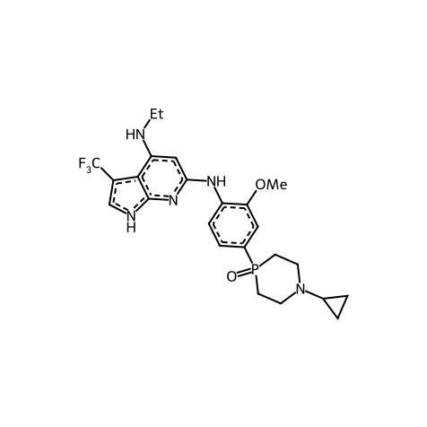 CCNc1cc(Nc2ccc(P3(=O)CCN(C4CC4)CC3)cc2OC)nc2[nH]cc(C(F)(F)F)c12